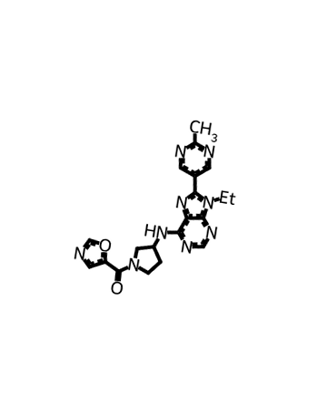 CCn1c(-c2cnc(C)nc2)nc2c(NC3CCN(C(=O)c4cnco4)C3)ncnc21